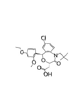 CCOc1ccc([C@@H]2O[C@@H](CC(=O)O)C(=O)N(CC(C)(C)C)c3ccc(Cl)cc32)c(OC)c1